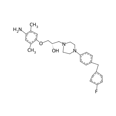 Cc1cc(OC[C@@H](O)CN2CCN(c3ccc(Cc4ccc(F)cc4)cc3)CC2)c(C)cc1N